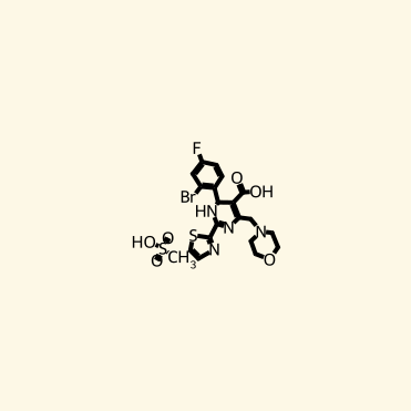 CS(=O)(=O)O.O=C(O)C1=C(CN2CCOCC2)N=C(c2nccs2)NC1c1ccc(F)cc1Br